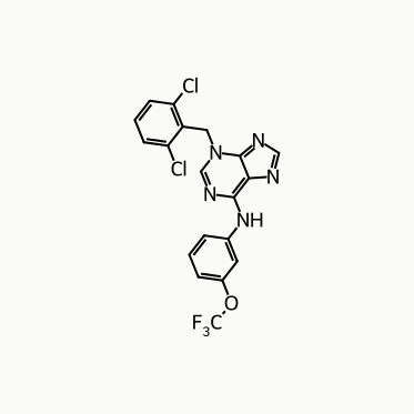 FC(F)(F)Oc1cccc(Nc2ncn(Cc3c(Cl)cccc3Cl)c3ncnc2-3)c1